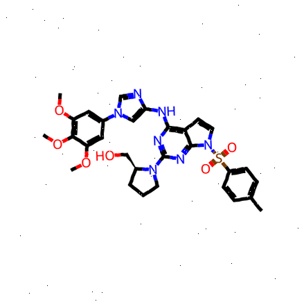 COc1cc(-n2cnc(Nc3nc(N4CCC[C@H]4CO)nc4c3ccn4S(=O)(=O)c3ccc(C)cc3)c2)cc(OC)c1OC